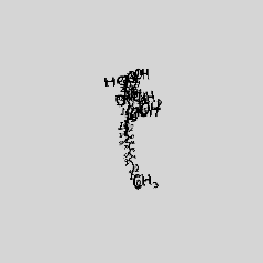 CCCCCCCCCCCCCCCCCC(=O)N(CCO)C(CN)(CCC(=O)O)CCC(=O)O